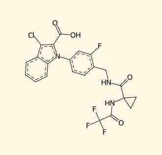 O=C(O)c1c(Cl)c2ccccc2n1-c1ccc(CNC(=O)C2(NC(=O)C(F)(F)F)CC2)c(F)c1